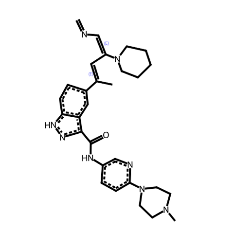 C=N/C=C(\C=C(/C)c1ccc2[nH]nc(C(=O)Nc3ccc(N4CCN(C)CC4)nc3)c2c1)N1CCCCC1